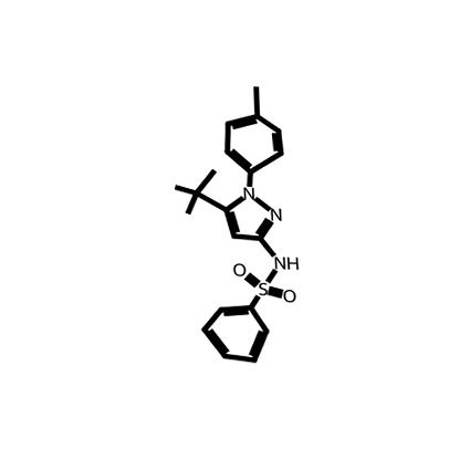 Cc1ccc(-n2nc(NS(=O)(=O)c3ccccc3)cc2C(C)(C)C)cc1